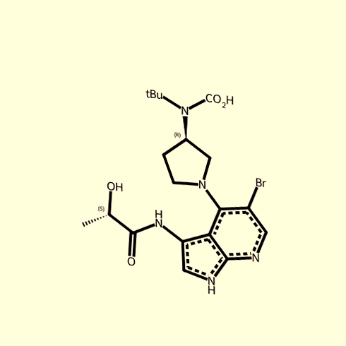 C[C@H](O)C(=O)Nc1c[nH]c2ncc(Br)c(N3CC[C@@H](N(C(=O)O)C(C)(C)C)C3)c12